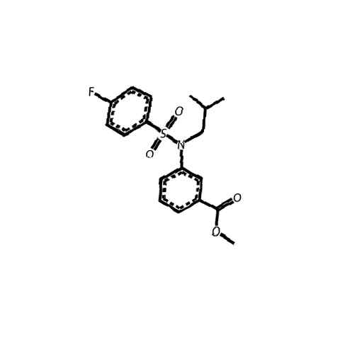 COC(=O)c1cccc(N(CC(C)C)S(=O)(=O)c2ccc(F)cc2)c1